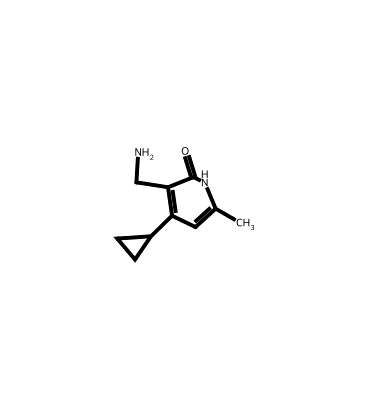 Cc1cc(C2CC2)c(CN)c(=O)[nH]1